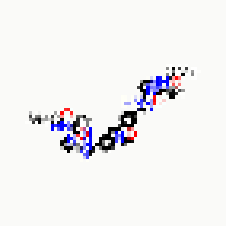 COC(=O)NC(C(=O)N1CCC[C@H]1c1ncc(-c2ccc3c(c2)OC(C)(C)n2c-3cc3cc(-c4cnc([C@@H]5CCCN5C(=O)C(NC(=O)OC)C(C)C)[nH]4)ccc32)[nH]1)C(C)C